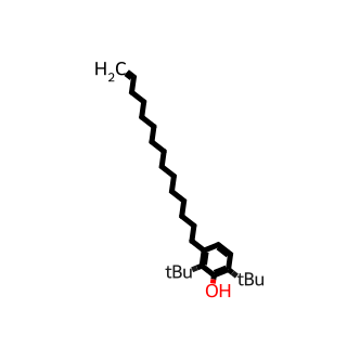 C=CCCCCCCCCCCCCCc1ccc(C(C)(C)C)c(O)c1C(C)(C)C